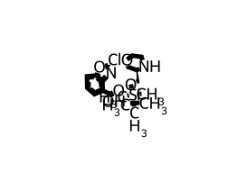 CC(C)(C)[Si](C)(C)OC[C@H]1COCCN1.O=C(O)c1cccc2oc(Cl)nc12